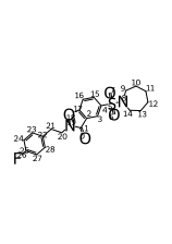 O=c1c2cc(S(=O)(=O)N3CCCCCC3)ccc2on1CCc1ccc(F)cc1